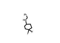 CC(C)CNC1CCC(F)(F)CC1